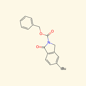 CC(C)(C)c1ccc2c(c1)CN(C(=O)OCc1ccccc1)C2=O